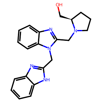 OC[C@H]1CCCN1Cc1nc2ccccc2n1Cc1nc2ccccc2[nH]1